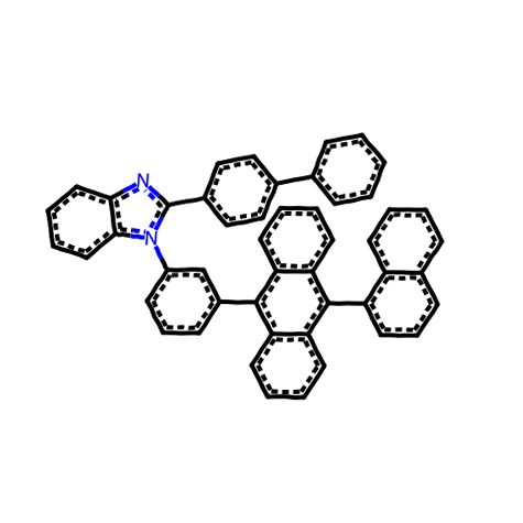 c1ccc(-c2ccc(-c3nc4ccccc4n3-c3cccc(-c4c5ccccc5c(-c5cccc6ccccc56)c5ccccc45)c3)cc2)cc1